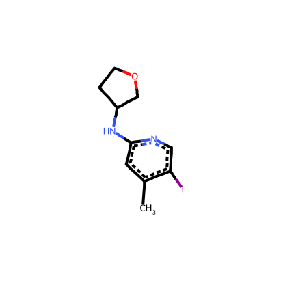 Cc1cc(NC2CCOC2)ncc1I